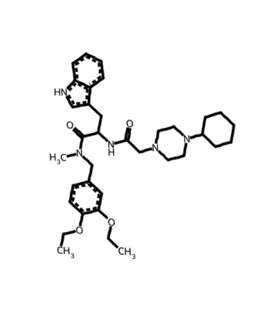 CCOc1ccc(CN(C)C(=O)C(Cc2c[nH]c3ccccc23)NC(=O)CN2CCN(C3CCCCC3)CC2)cc1OCC